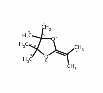 CC(C)=C1OC(C)(C)C(C)(C)O1